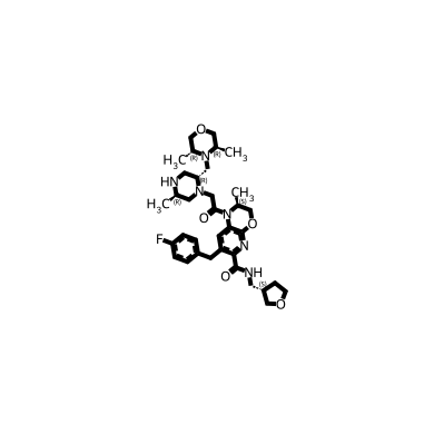 C[C@@H]1CN(CC(=O)N2c3cc(Cc4ccc(F)cc4)c(C(=O)NC[C@@H]4CCOC4)nc3OC[C@@H]2C)[C@@H](CN2[C@H](C)COC[C@H]2C)CN1